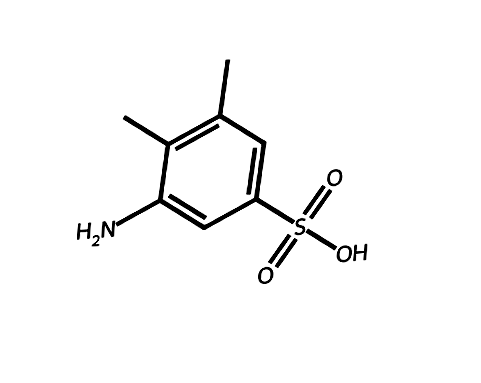 Cc1cc(S(=O)(=O)O)cc(N)c1C